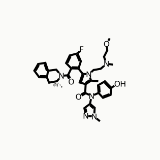 COCCN(C)CCn1c(-c2cc(F)ccc2C(=O)N2Cc3ccccc3C[C@H]2C)cc(C(=O)N(c2ccc(O)cc2)c2cnn(C)c2)c1C